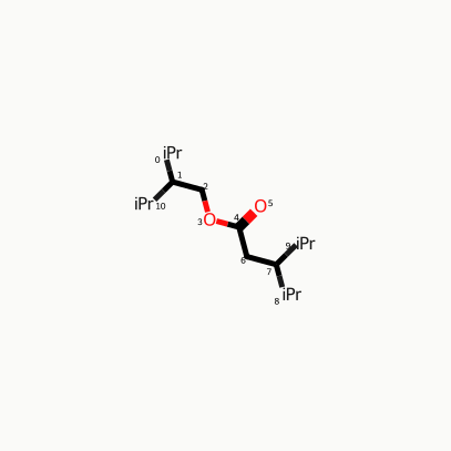 CC(C)C(COC(=O)CC(C(C)C)C(C)C)C(C)C